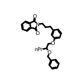 CCCC(COc1cccc(CCCN2C(=O)c3ccccc3C2=O)c1)OCc1ccccc1